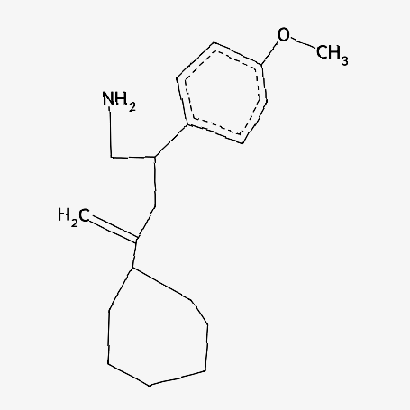 C=C(CC(CN)c1ccc(OC)cc1)C1CCCCCC1